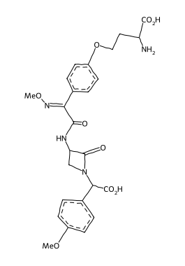 CON=C(C(=O)NC1CN(C(C(=O)O)c2ccc(OC)cc2)C1=O)c1ccc(OCCC(N)C(=O)O)cc1